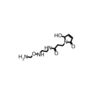 NCONCCNC(=O)CCN1C(=O)C=CC1O